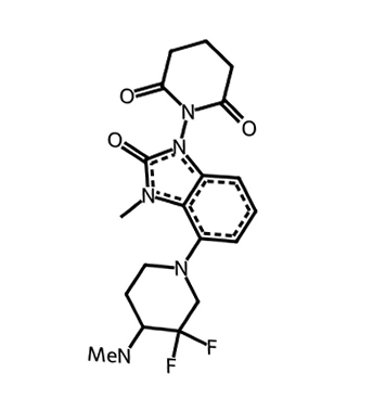 CNC1CCN(c2cccc3c2n(C)c(=O)n3N2C(=O)CCCC2=O)CC1(F)F